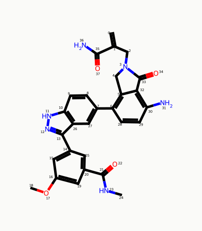 C=C(CN1Cc2c(-c3ccc4[nH]nc(-c5cc(OC)cc(C(=O)NC)c5)c4c3)ccc(N)c2C1=O)C(N)=O